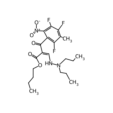 CCCCOC(=O)C(=CNN(CCC)CCC)C(=O)c1c(F)c(C)c(F)c(F)c1[N+](=O)[O-]